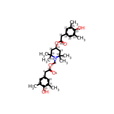 Cc1cc(CC(=O)OCN2C(C)(C)CC(OC(=O)Cc3cc(C)c(O)c(C)c3)CC2(C)C)cc(C)c1O